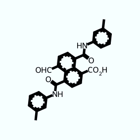 Cc1cccc(NC(=O)c2ccc(C(=O)O)c3c(C(=O)Nc4cccc(C)c4)ccc(C=O)c23)c1